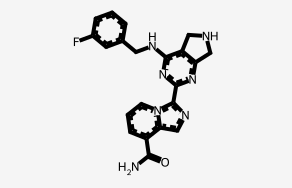 NC(=O)c1cccn2c(-c3nc4c(c(NCc5cccc(F)c5)n3)CNC4)ncc12